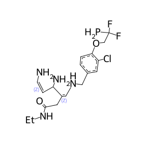 CCNC(=O)C/C(=C/NCc1ccc(OCC(F)(F)P)c(Cl)c1)C(N)/C=C\N